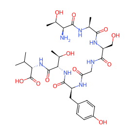 CC(C)[C@H](NC(=O)[C@@H](NC(=O)[C@H](Cc1ccc(O)cc1)NC(=O)CNC(=O)[C@H](CO)NC(=O)[C@H](C)NC(=O)[C@@H](N)[C@@H](C)O)[C@@H](C)O)C(=O)O